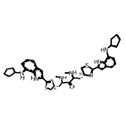 CNC(C[C@@H]1CSC(c2cc3cccc(NC4CCCC4)c3[nH]2)=N1)C(=O)C(C[C@@H]1CSC(c2cc3cccc(NC4CCCC4)c3[nH]2)=N1)NC